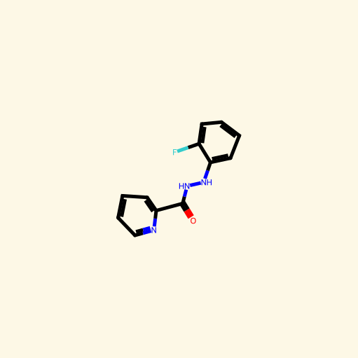 O=C(NNc1ccccc1F)c1ccccn1